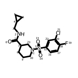 O=C(NCC1CC1)C1CCCN(S(=O)(=O)c2ccc(F)c(Cl)c2)C1